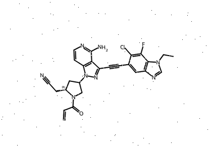 C=CC(=O)N1CC(n2nc(C#Cc3cc4ncn(CC)c4c(F)c3Cl)c3c(N)nccc32)C[C@@H]1CC#N